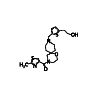 Cc1nc(C(=O)N2CCOC3(CCN(Cc4ccc(CCO)s4)CC3)C2)cs1